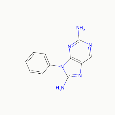 Nc1ncc2nc(N)n(-c3ccccc3)c2n1